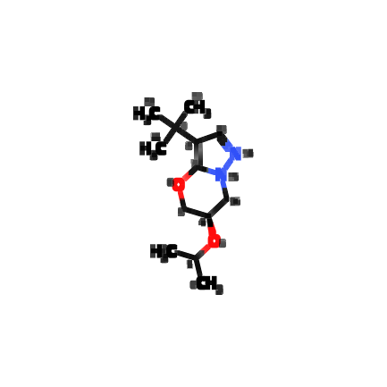 CC(C)O[C@H]1COc2c(C(C)(C)C)cnn2C1